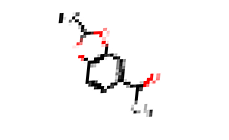 CC(=O)c1ccc2c(c1)OC(C)O2